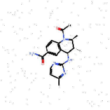 CCC(=O)N1c2ccc(C(N)=O)cc2[C@H](Nc2nccc(C)n2)[C@@H](C)[C@@H]1C